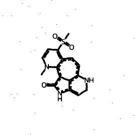 CN1C=CC(S(C)(=O)=O)=c2ccc3c4c([nH]c(=O)c-4c21)=CCN3